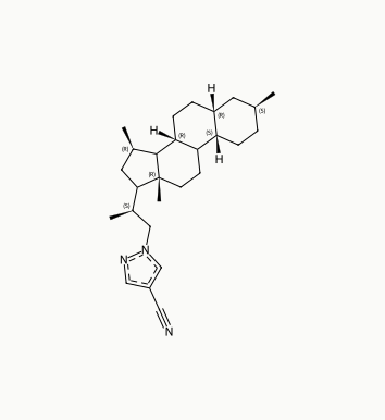 C[C@H]1CC[C@@H]2C3CC[C@]4(C)C([C@H](C)Cn5cc(C#N)cn5)C[C@@H](C)C4[C@@H]3CC[C@@H]2C1